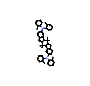 Cc1ccccc1N(c1ccc2c(c1)C1=C(C2)C(C)(C)C2C(=Cc3ccc(N(c4ccccc4C)c4ccccc4C)cc32)C1(C)C)c1ccccc1C